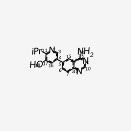 CC(C)c1ncc(-c2ccc3ncnc(N)c3c2)cc1O